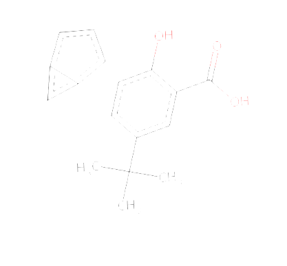 CC(C)(C)c1ccc(O)c(C(=O)O)c1.c1cc2cc-2c1